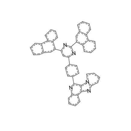 c1ccc2c(c1)cc(-c1cc(-c3ccc(-c4nc5ccccc5c5nc6ccccn6c45)cc3)nc(-c3cc4ccccc4c4ccccc34)n1)c1ccccc12